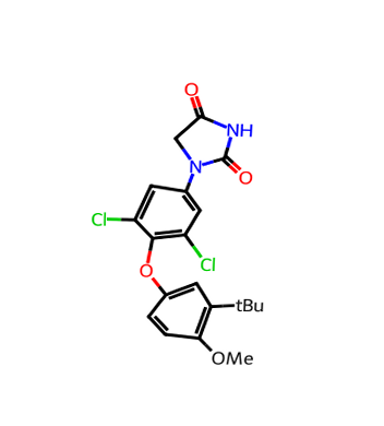 COc1ccc(Oc2c(Cl)cc(N3CC(=O)NC3=O)cc2Cl)cc1C(C)(C)C